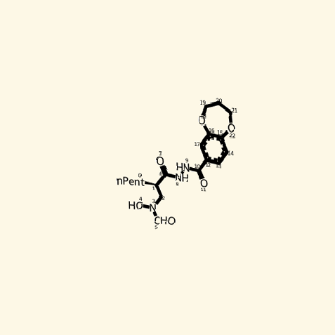 CCCCC[C@H](CN(O)C=O)C(=O)NNC(=O)c1ccc2c(c1)OCCCO2